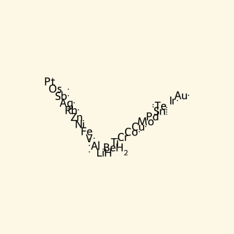 [Ag].[Al].[Au].[BeH2].[Co].[Cr].[Cu].[Fe].[Ir].[LiH].[Mo].[Ni].[Os].[Pd].[Pt].[Rh].[Sb].[Sn].[Te].[Ti].[V].[Zn]